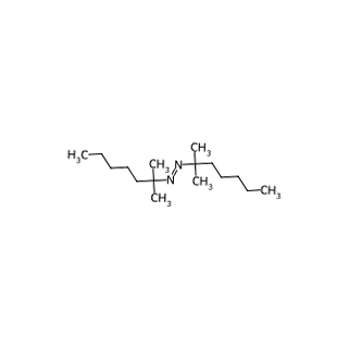 CCCCCC(C)(C)N=NC(C)(C)CCCCC